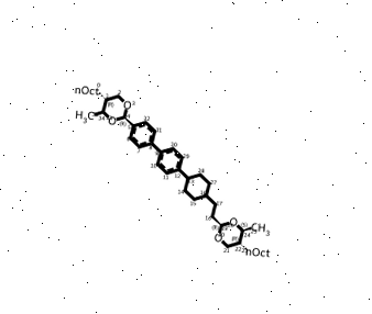 CCCCCCCC[C@@H]1CO[C@@H](c2ccc(-c3ccc(C4CCC(CC[C@@H]5OC[C@@H](CCCCCCCC)[C@H](C)O5)CC4)cc3)cc2)OC1C